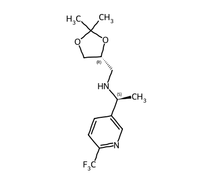 C[C@H](NC[C@@H]1COC(C)(C)O1)c1ccc(C(F)(F)F)nc1